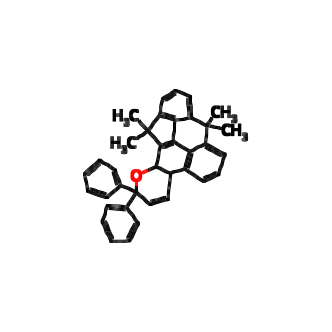 CC1(C)C2=C3c4c(cccc4C(C)(C)c4cccc1c43)C1C=CC(c3ccccc3)(c3ccccc3)OC21